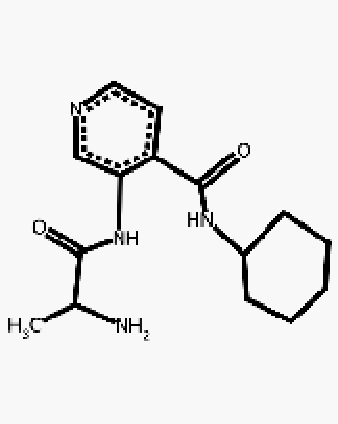 CC(N)C(=O)Nc1cnccc1C(=O)NC1CCCCC1